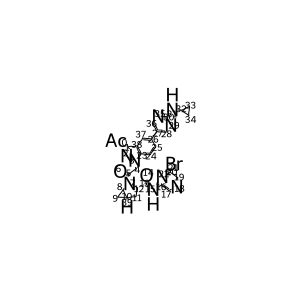 CC(=O)c1nn(CC(=O)N2C3C[C@@H]3C[C@H]2C(=O)Nc2cncc(Br)n2)c2ccc(-c3cnc(NC4CC4)nc3)cc12